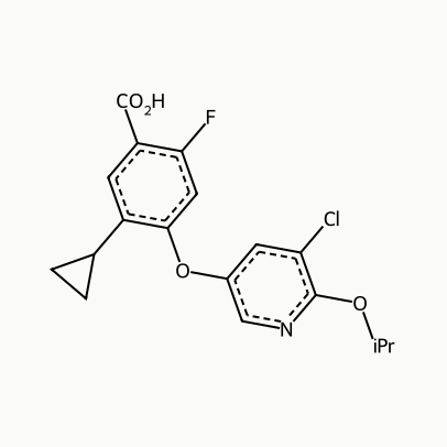 CC(C)Oc1ncc(Oc2cc(F)c(C(=O)O)cc2C2CC2)cc1Cl